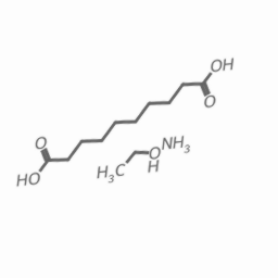 CCO.N.O=C(O)CCCCCCCCC(=O)O